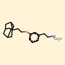 O=C(O)NCCc1cccc(OCCC23CC4CC(CC(C4)C2)C3)c1